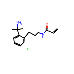 C=CC(=O)NCCCc1ccccc1C(C)(C)N.Cl